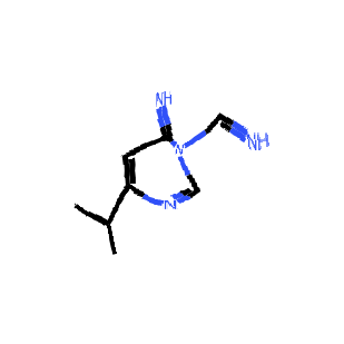 CC(C)c1cc(=N)n(C=N)cn1